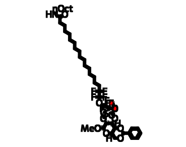 CCCCCCCCNC(=O)CCCCCCCCCCCCCCCCC(F)(F)C(F)(F)OC(F)(F)C(F)(F)S(=O)(=O)O[C@@H]1[C@H](OC)O[C@@H]2COC(c3ccccc3)O[C@H]2[C@@H]1OCOCC